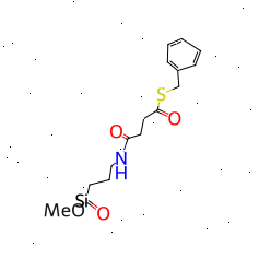 CO[Si](=O)CCCNC(=O)CCC(=O)SCc1ccccc1